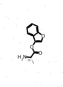 C[C@H](N)C(=O)Oc1coc2ccccc12